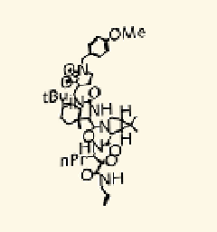 C=CCNC(=O)C(=O)C(CCC)NC(=O)[C@@H]1[C@@H]2[C@H](CN1C(=O)[C@@H](NC(=O)N[C@@H]([C@@H]1CCN(Cc3ccc(OC)cc3)S1(=O)=O)C(C)(C)C)C1(C)CCCCC1)C2(C)C